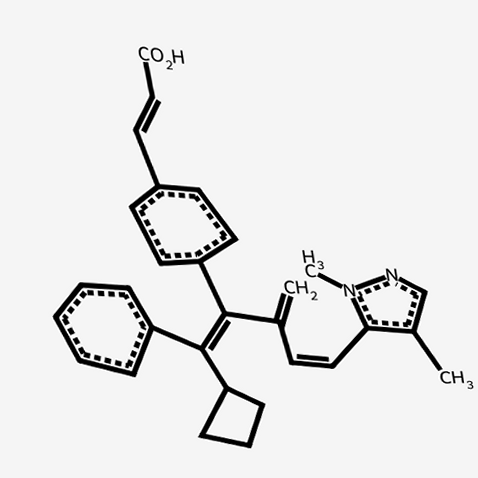 C=C(/C=C\c1c(C)cnn1C)/C(=C(/c1ccccc1)C1CCC1)c1ccc(/C=C/C(=O)O)cc1